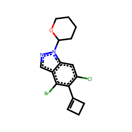 Clc1cc2c(cnn2C2CCCCO2)c(Br)c1C1=CCC1